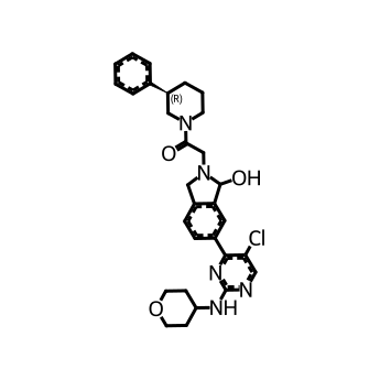 O=C(CN1Cc2ccc(-c3nc(NC4CCOCC4)ncc3Cl)cc2C1O)N1CCC[C@H](c2ccccc2)C1